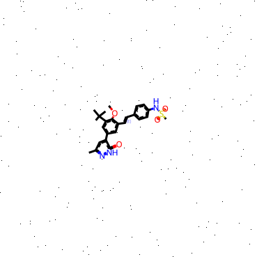 COc1c(/C=C/c2ccc(NS(C)(=O)=O)cc2)cc(-c2cc(C)n[nH]c2=O)cc1C(C)(C)C